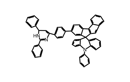 C1=C(c2ccc(-c3ccc4c(c3)C3(c5ccccc5N(c5ccccc5)c5ccccc53)c3ccc5ccccc5c3-4)cc2)N=C(c2ccccc2)NC1c1ccccc1